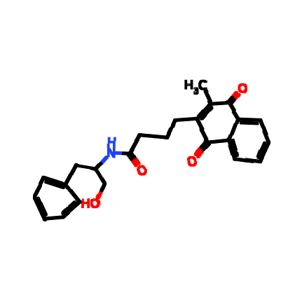 CC1=C(CCCC(=O)NC(CO)Cc2ccccc2)C(=O)c2ccccc2C1=O